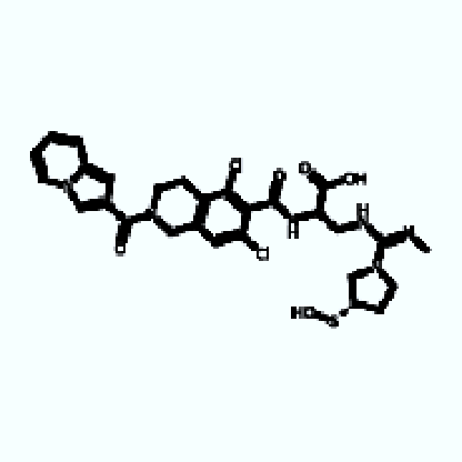 C/N=C(/NCC(NC(=O)c1c(Cl)cc2c(c1Cl)CCN(C(=O)c1cc3ccccn3c1)C2)C(=O)O)N1CC[C@H](SO)C1